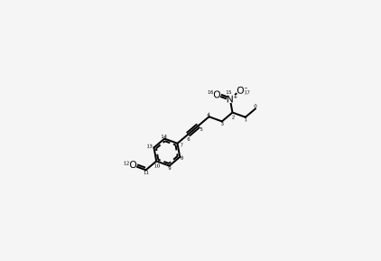 CCC(CCC#Cc1ccc(C=O)cc1)[N+](=O)[O-]